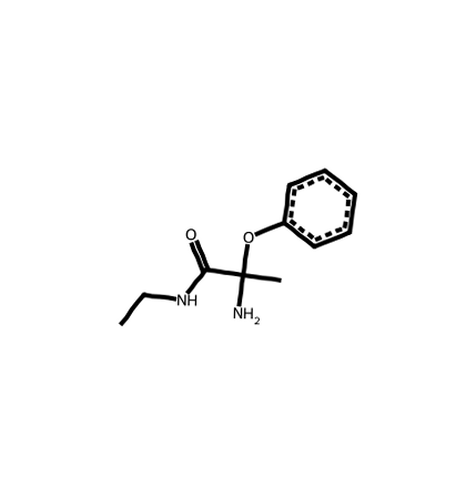 CCNC(=O)C(C)(N)Oc1ccccc1